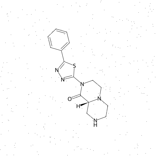 O=C1[C@H]2CNCCN2CCN1c1nnc(-c2ccccc2)s1